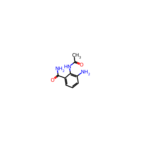 CC(=O)Nc1c(N)cccc1C(N)=O